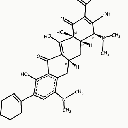 CN(C)c1cc(C2=CCCCC2)c(O)c2c1C[C@H]1C[C@H]3[C@H](N(C)C)C(O)=C(C(N)=O)C(=O)[C@@]3(O)C(O)=C1C2=O